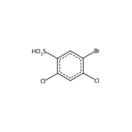 O=S(=O)(O)c1cc(Br)c(Cl)cc1Cl